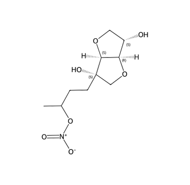 CC(CC[C@]1(O)CO[C@@H]2[C@@H](O)CO[C@@H]21)O[N+](=O)[O-]